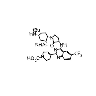 CC(=O)N[C@@H]1C[C@H](NC(C)(C)C)CC[C@@H]1N1CC[C@H](Nc2nc(C3=CCN(C(=O)O)CC3)nc3ccc(C(F)(F)F)cc23)C1=O